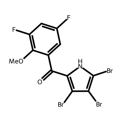 COc1c(F)cc(F)cc1C(=O)c1[nH]c(Br)c(Br)c1Br